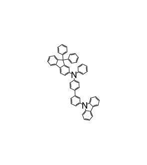 c1ccc(N(c2ccc(-c3cccc(-n4c5ccccc5c5ccccc54)c3)cc2)c2ccc3c(c2)C(c2ccccc2)(c2ccccc2)c2ccccc2-3)cc1